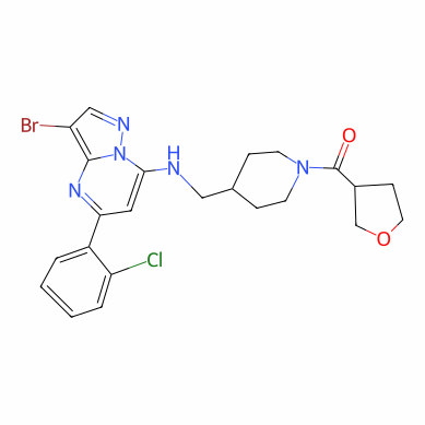 O=C(C1CCOC1)N1CCC(CNc2cc(-c3ccccc3Cl)nc3c(Br)cnn23)CC1